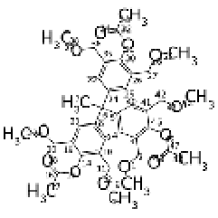 COCc1cc(C(C)(c2cc(COC)c(OC(C)=O)c(COC)c2)c2cc(COC)c(OC(C)=O)c(COC)c2)cc(COC)c1OC(C)=O